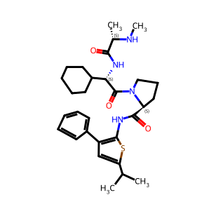 CN[C@@H](C)C(=O)N[C@H](C(=O)N1CCC[C@H]1C(=O)Nc1sc(C(C)C)cc1-c1ccccc1)C1CCCCC1